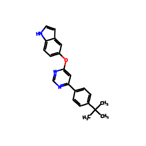 CC(C)(C)c1ccc(-c2cc(Oc3ccc4[nH]ccc4c3)ncn2)cc1